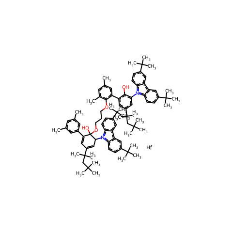 Cc1cc(C)cc(C2=CC(C(C)(C)CC(C)(C)C)=CC(n3c4ccc(C(C)(C)C)cc4c4cc(C(C)(C)C)ccc43)C2(O)OCCCOc2c(C)cc(C)cc2-c2cc(C(C)(C)CC(C)(C)C)cc(-n3c4ccc(C(C)(C)C)cc4c4cc(C(C)(C)C)ccc43)c2O)c1.[Hf]